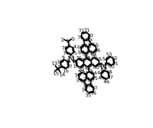 CC(C)c1ccc(N(c2ccc(C(C)(C)C)cc2)c2ccc3c(-c4ccc5c6c(cccc46)-c4ccccc4-5)c4cc(N(c5ccccc5)c5ccccc5)ccc4c(-c4ccc5c6c(cccc46)-c4ccccc4-5)c3c2)cc1